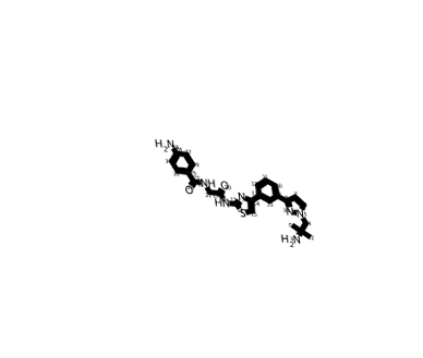 CC(C)(N)Cn1ccc(-c2cccc(-c3csc(NC(=O)CNC(=O)c4ccc(N)cc4)n3)c2)n1